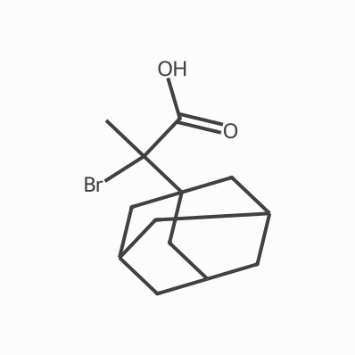 CC(Br)(C(=O)O)C12CC3CC(CC(C3)C1)C2